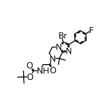 CC(C)(C)OC(=O)NCC(=O)N1CCn2c(nc(-c3ccc(F)cc3)c2Br)C1(C)C